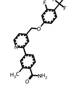 Cc1cc(-c2cc(COc3ccc(C(F)(F)F)c(F)c3)ccn2)ccc1C(N)=O